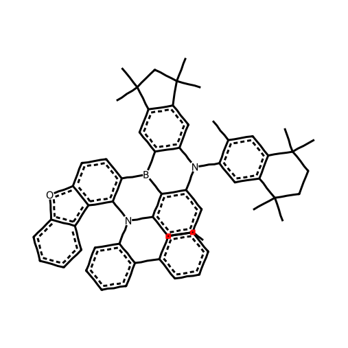 Cc1cc2c3c(c1)N(c1ccccc1-c1ccccc1)c1c(ccc4oc5ccccc5c14)B3c1cc3c(cc1N2c1cc2c(cc1C)C(C)(C)CCC2(C)C)C(C)(C)CC3(C)C